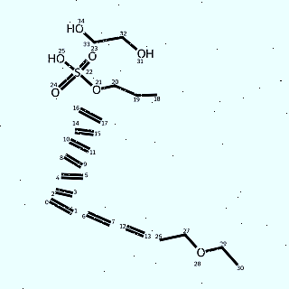 C=C.C=C.C=C.C=C.C=C.C=C.C=C.C=C.C=C.CCCOS(=O)(=O)O.CCOCC.OCCO